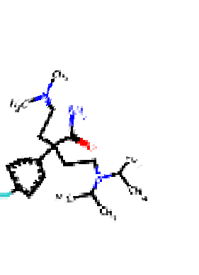 CC(C)N(CCC(CCN(C)C)(C(N)=O)c1ccc(F)cc1)C(C)C